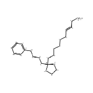 O=C(O)C/C=C/CCCCCCC1(CCCCc2ccccc2)OCCO1